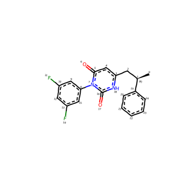 C[C@H](Cc1cc(=O)n(-c2cc(F)cc(F)c2)c(=O)[nH]1)c1ccccc1